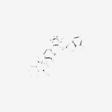 C[C@@H](OC(=O)Nc1c(-c2ccc(NC(=O)[C@H]3CCCC[C@@H]3C(=O)O)c(F)n2)nnn1C)c1ccccc1Cl